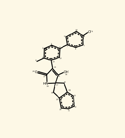 Cc1ccc(-c2ccc(Cl)cc2)cc1C1=C(O)C2(Cc3ccccc3C2)NC1=O